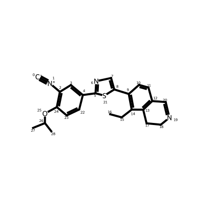 [C-]#[N+]c1cc(-c2ncc(-c3ccc4c(c3CC)CCN=C4)s2)ccc1OC(C)C